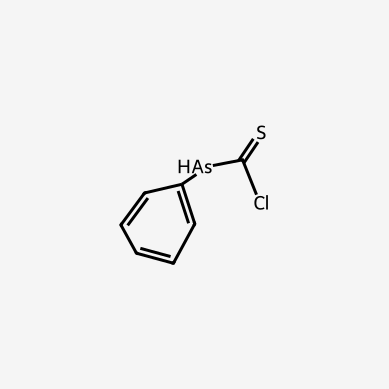 S=C(Cl)[AsH]c1ccccc1